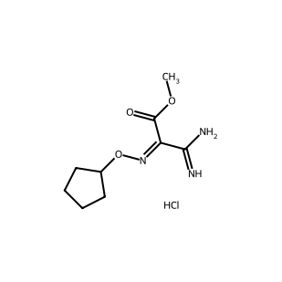 COC(=O)C(=NOC1CCCC1)C(=N)N.Cl